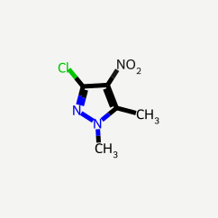 Cc1c([N+](=O)[O-])c(Cl)nn1C